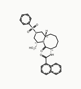 O=C(N[C@H]1CCCC[C@H]2CN(S(=O)(=O)c3ccccc3)C[C@@H](C(=O)O)N2C1=O)c1cccc2ccccc12